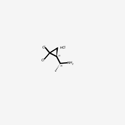 C[C@@H](N)[C@@H]1CC1(Cl)Cl.Cl